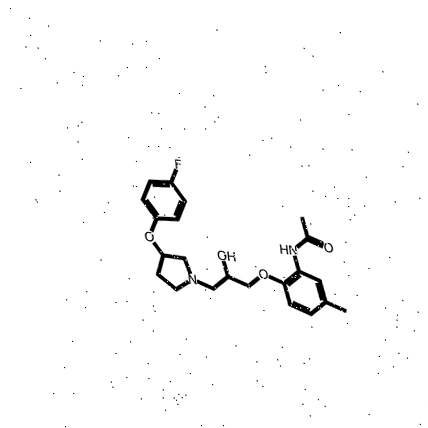 CC(=O)Nc1cc(C)ccc1OCC(O)CN1CCC(Oc2ccc(F)cc2)C1